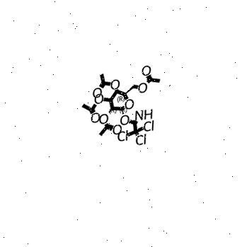 CC(=O)OC[C@H]1O[C@H](OC(=N)C(Cl)(Cl)Cl)[C@H](OC(C)=O)C(OC(C)=O)C1OC(C)=O